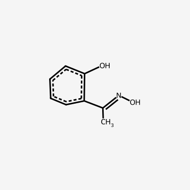 CC(=NO)c1ccccc1O